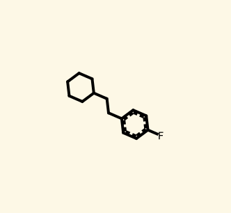 Fc1ccc(CCC2CCCCC2)cc1